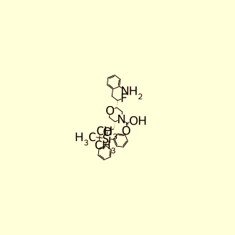 CC(C)(C)[Si](OC[C@@H]1CO[C@H](C(F)Cc2ccccc2N)CN1C(=O)O)(c1ccccc1)c1ccccc1